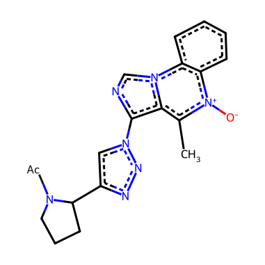 CC(=O)N1CCCC1c1cn(-c2ncn3c2c(C)[n+]([O-])c2ccccc23)nn1